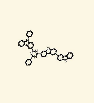 c1ccc(-c2nc(-c3ccc4c(c3)oc3ccc(-c5ccc6sc7ccccc7c6c5)cc34)nc(-c3ccc4c(c3)c3ccccc3n4-c3ccccc3)n2)cc1